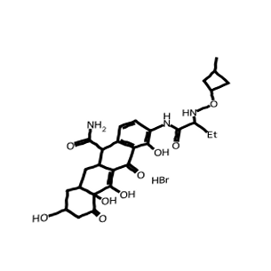 Br.CCC(NOC1CC(C)C1)C(=O)Nc1ccc2c(c1O)C(=O)C1=C(O)C3(O)C(=O)CC(O)CC3CC1C2C(N)=O